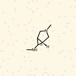 CNC1C2CN(C)C[C@@H]21